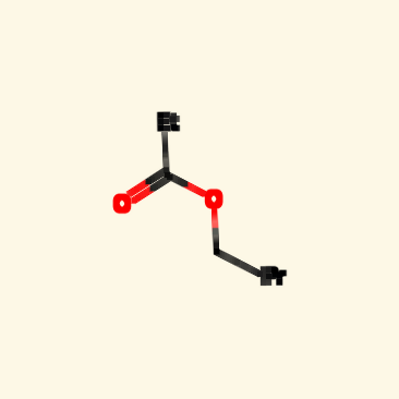 CCC(=O)OCC(C)C